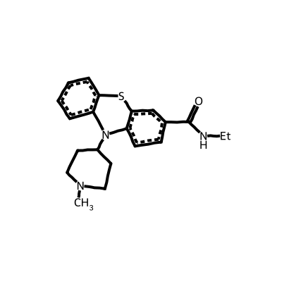 CCNC(=O)c1ccc2c(c1)Sc1ccccc1N2C1CCN(C)CC1